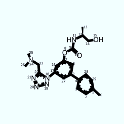 Cc1ccc(-c2cc(OC(=O)N[C@@H](C)CO)cc(-n3nnnc3CN(C)C)c2)cc1